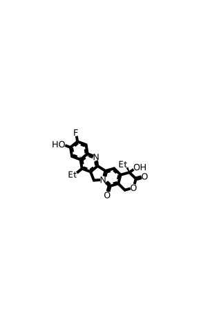 CCc1c2c(nc3cc(F)c(O)cc13)-c1cc3c(c(=O)n1C2)COC(=O)[C@]3(O)CC